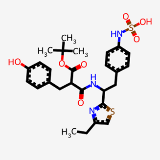 CCc1csc(C(Cc2ccc(NS(=O)(=O)O)cc2)NC(=O)C(Cc2ccc(O)cc2)C(=O)OC(C)(C)C)n1